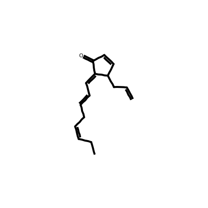 C=CCC1C=CC(=O)/C1=C/C=C/C/C=C\CC